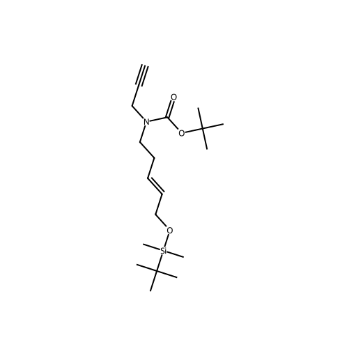 C#CCN(CCC=CCO[Si](C)(C)C(C)(C)C)C(=O)OC(C)(C)C